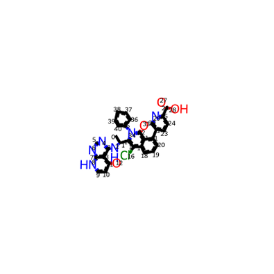 CC(Nc1ncnc2[nH]ccc(=O)c12)c1c(Cl)c2cccc(-c3ccc(C(=O)O)nc3)c2c(=O)n1-c1ccccc1